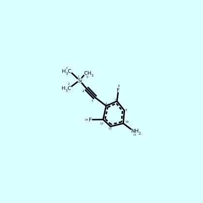 C[Si](C)(C)C#Cc1c(F)cc(N)cc1F